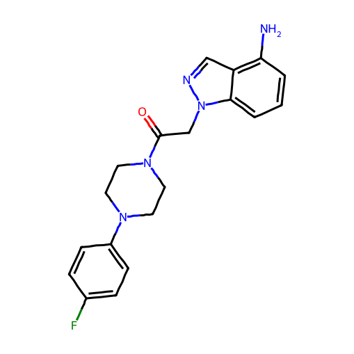 Nc1cccc2c1cnn2CC(=O)N1CCN(c2ccc(F)cc2)CC1